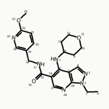 CCn1ncc2c(NC3CCOCC3)c(C(=O)NCc3ccc(OC)nc3)cnc21